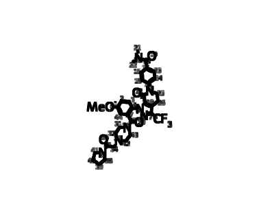 COc1ccc(-n2nc(C(F)(F)F)c3c2C(=O)N(c2ccc(C(=O)N(C)C)cc2)CC3)c(C(=O)N2CCN(CC(=O)N3CCCC3)CC2)c1